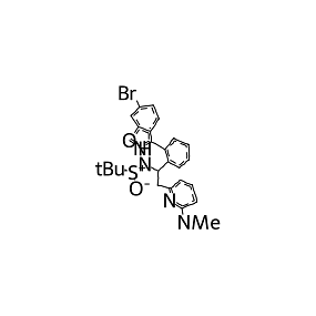 CNc1cccc(CC(N[S@@+]([O-])C(C)(C)C)c2ccccc2-c2noc3cc(Br)ccc23)n1